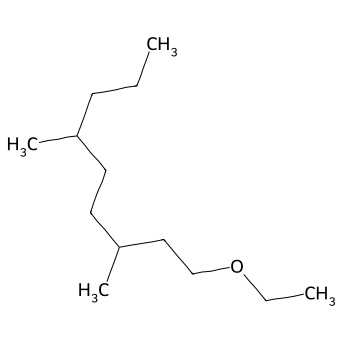 CCCC(C)CCC(C)CCOCC